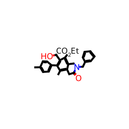 CCOC(=O)C(O)c1c(C)c2c(c(C)c1-c1ccc(C)cc1)CC(=O)N(Cc1ccccc1)C2